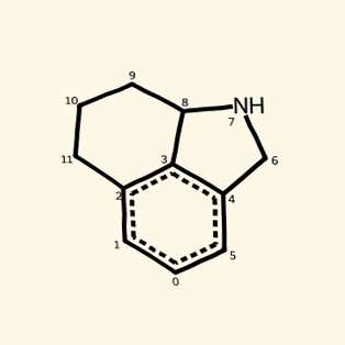 c1cc2c3c(c1)CNC3CCC2